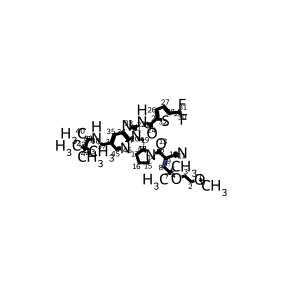 COCCOC(C)(C)/C=C(\C#N)C(=O)N1CCC[C@@H]1Cn1c(NC(=O)c2ccc(C(F)F)s2)nc2cc(CN[C@@H](C)C(C)(C)C)cnc21